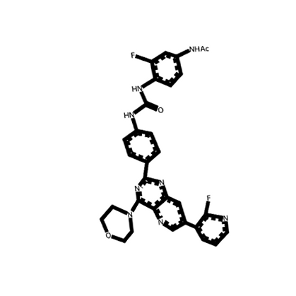 CC(=O)Nc1ccc(NC(=O)Nc2ccc(-c3nc(N4CCOCC4)c4ncc(-c5cccnc5F)cc4n3)cc2)c(F)c1